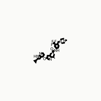 C[C@@H]1CN(C(=O)Nc2ccc(CN3CCN(C)CC3)c(C(F)(F)F)c2)Cc2cc(Oc3ccnc4[nH]c(C5CC5)cc34)cnc21